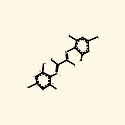 CC(=Nc1c(C)cc(C)cc1C)C(C)=Nc1c(C)cc(C)cc1C